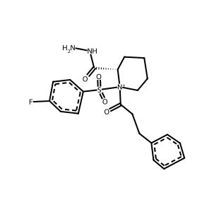 NNC(=O)[C@@H]1CCCC[N+]1(C(=O)CCc1ccccc1)S(=O)(=O)c1ccc(F)cc1